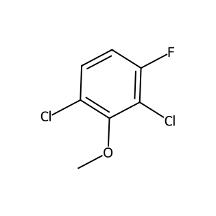 COc1c(Cl)ccc(F)c1Cl